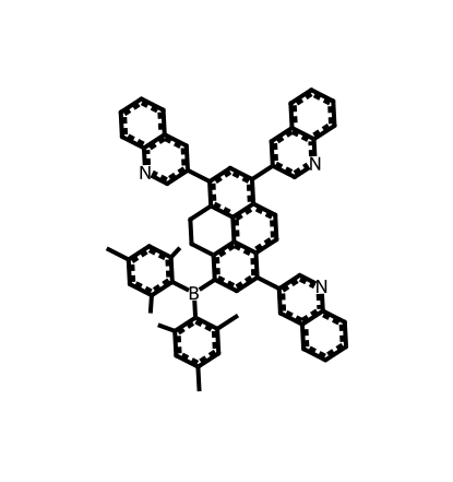 Cc1cc(C)c(B(c2cc(-c3cnc4ccccc4c3)c3ccc4c(-c5cnc6ccccc6c5)cc(-c5cnc6ccccc6c5)c5c4c3c2CC5)c2c(C)cc(C)cc2C)c(C)c1